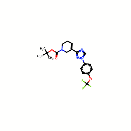 CC(C)(C)OC(=O)N1CCC=C(c2ncn(-c3ccc(OC(F)(F)F)cc3)n2)C1